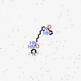 O=C(NCCCCCCC1CCN(C(=O)c2ccc[nH]2)C1)Nc1cc(F)nc(F)c1